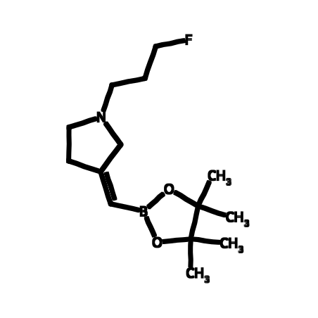 CC1(C)OB(C=C2CCN(CCCF)C2)OC1(C)C